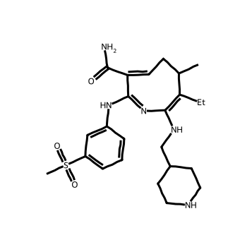 CC/C1=C(NCC2CCNCC2)/N=C(Nc2cccc(S(C)(=O)=O)c2)\C(C(N)=O)=C\CC1C